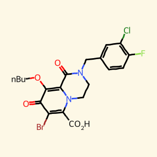 CCCCOc1c2n(c(C(=O)O)c(Br)c1=O)CCN(Cc1ccc(F)c(Cl)c1)C2=O